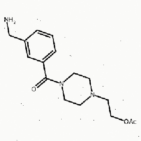 CC(=O)OCCN1CCN(C(=O)c2cccc(CN)c2)CC1